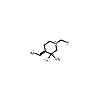 C/C=C1\CCN(CC(C)C)CC1(C)C